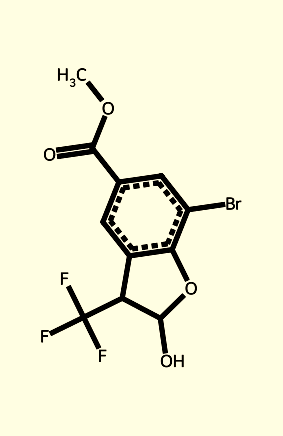 COC(=O)c1cc(Br)c2c(c1)C(C(F)(F)F)C(O)O2